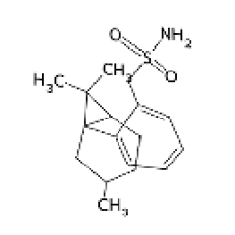 CC1CCC2C(C)(C)C2(c2ccccc2CS(N)(=O)=O)C1